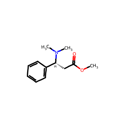 COC(=O)C[C@H](c1ccccc1)N(C)C